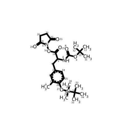 Cc1cc(CC(NC(=O)OC(C)(C)C)C(=O)ON2C(=O)CCC2=O)ccc1O[Si](C)(C)C(C)(C)C